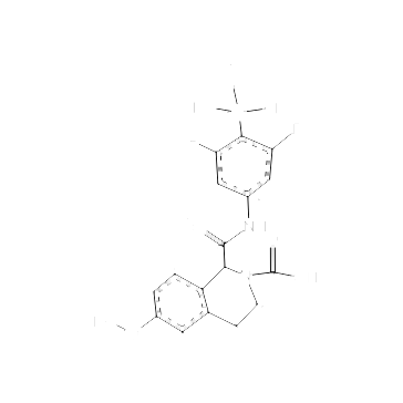 COc1ccc2c(c1)CCN(C(=O)O)C2C(=O)Nc1cc(F)c([Si](C)(C)C)c(F)c1